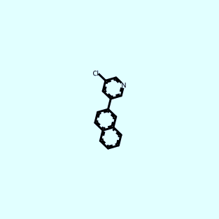 Clc1cncc(-c2ccc3ccccc3c2)c1